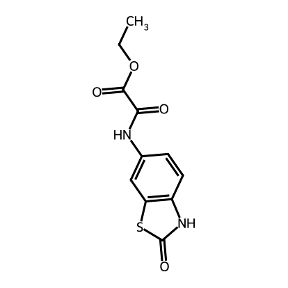 CCOC(=O)C(=O)Nc1ccc2[nH]c(=O)sc2c1